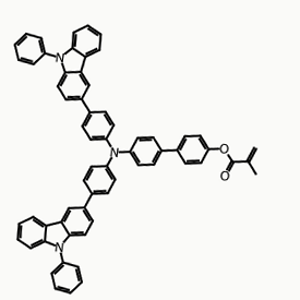 C=C(C)C(=O)Oc1ccc(-c2ccc(N(c3ccc(-c4ccc5c(c4)c4ccccc4n5-c4ccccc4)cc3)c3ccc(-c4ccc5c(c4)c4ccccc4n5-c4ccccc4)cc3)cc2)cc1